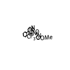 COc1cccc(C(=O)Nc2cnn3ccc(-c4ccccc4C(F)(F)F)nc23)n1